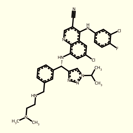 CC(C)n1cc([C@@H](Nc2cc(Cl)cc3c(Nc4ccc(F)c(Cl)c4)c(C#N)cnc23)c2cccc(CNCCN(C)C)c2)nn1